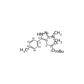 CCCCOC(=O)Cc1c(N(C)C)n[nH]c1-c1ccc(C)cc1